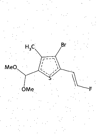 COC(OC)c1sc(C=CF)c(Br)c1C